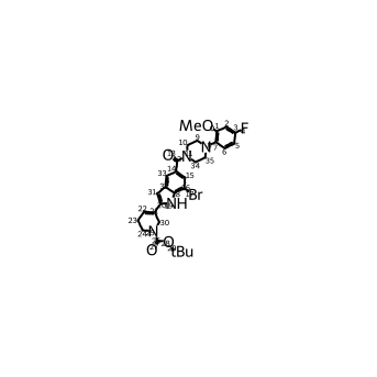 COc1cc(F)ccc1N1CCN(C(=O)c2cc(Br)c3[nH]c(C4=CCCN(C(=O)OC(C)(C)C)C4)cc3c2)CC1